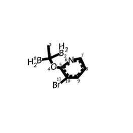 BC(B)(C)Oc1ncccc1Br